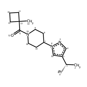 CC(C)[C@@H](C)c1cnn(C2CCN(C(=O)C3(C)CCC3)CC2)c1